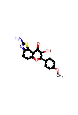 COc1ccc(-c2oc3ccc4nc(N)sc4c3c(=O)c2O)cc1